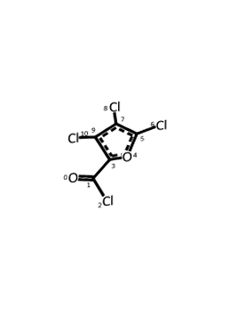 O=C(Cl)c1oc(Cl)c(Cl)c1Cl